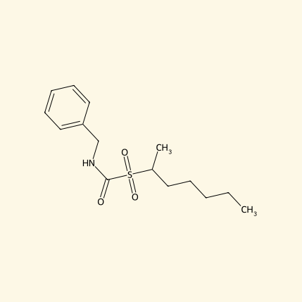 CCCCCC(C)S(=O)(=O)C(=O)NCc1ccccc1